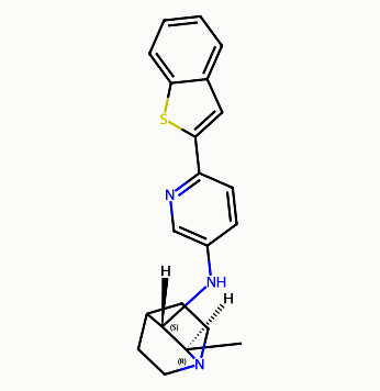 C[C@@H]1[C@@H](Nc2ccc(-c3cc4ccccc4s3)nc2)C2CCN1CC2